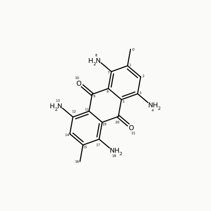 Cc1cc(N)c2c(c1N)C(=O)c1c(N)cc(C)c(N)c1C2=O